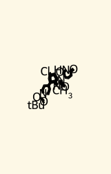 Cn1c(=O)n(C2CCC(=O)NC2=O)c2cc(Cl)cc(C3CCN(C(=O)OC(C)(C)C)CC3)c21